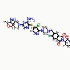 C[C@@H]1OCC2(CCN(c3cnc(Sc4ccnc(N5CCN(Cc6cc7c(cc6F)C(=O)N(C6CCC(=O)NC6=O)C7=O)CC5)c4Cl)c(N)n3)CC2)[C@@H]1N